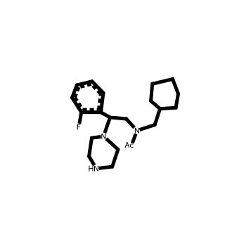 CC(=O)N(CC1CCCCC1)CC(c1ccccc1F)N1CCNCC1